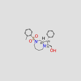 Cc1ccccc1S(=O)(=O)N1CCCCN2[C@H](CO)[C@@H](c3ccccc3)[C@@H]2C1